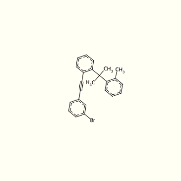 Cc1ccccc1C(C)(C)c1ccccc1C#Cc1cccc(Br)c1